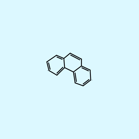 [c]1ccc2c(c1)ccc1cc[c]cc12